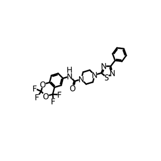 O=C(Nc1ccc2c(c1)C(F)(F)OC(F)(F)O2)N1CCN(c2nc(-c3ccccc3)ns2)CC1